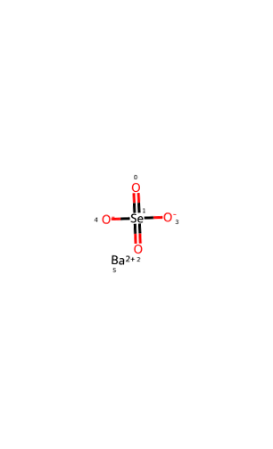 O=[Se](=O)([O-])[O-].[Ba+2]